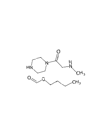 CCCCOC=O.CNCC(=O)N1CCNCC1